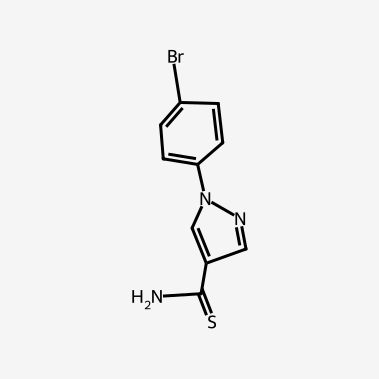 NC(=S)c1cnn(-c2ccc(Br)cc2)c1